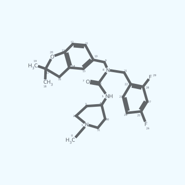 CN1CCC(NC(=O)N(Cc2ccc3c(c2)CC(C)(C)O3)Cc2ccc(F)cc2F)CC1